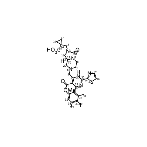 COC(=O)C1=C(CN2CCN3C(=O)N(CC4(C(=O)O)CC4)C[C@@H]3C2)NC(c2nccs2)=N[C@H]1c1ccc(F)c(F)c1C